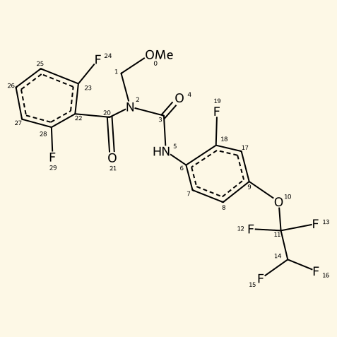 COCN(C(=O)Nc1ccc(OC(F)(F)C(F)F)cc1F)C(=O)c1c(F)cccc1F